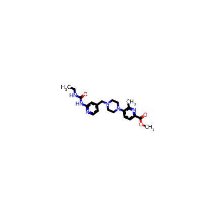 CCNC(=O)Nc1cc(CN2CCN(c3ccc(C(=O)OC)nc3C)CC2)ccn1